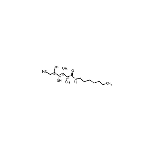 CCCCCCCNC(=O)[C@H](O)[C@@H](O)[C@H](O)[C@H](O)CO